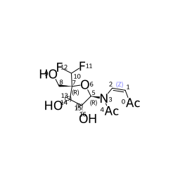 CC(=O)/C=C\N(C(C)=O)[C@@H]1O[C@@](CO)(C(F)F)[C@@H](O)[C@H]1O